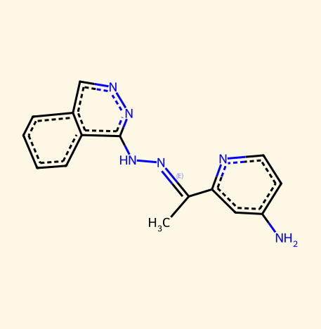 C/C(=N\Nc1nncc2ccccc12)c1cc(N)ccn1